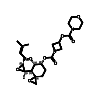 CO[C@@H]1[C@H](OC(=O)N2CC(OC(=O)N3CCOCC3)C2)CC[C@]2(CO2)[C@H]1[C@@]1(C)O[C@@H]1CC=C(C)C